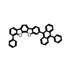 c1ccc(-c2c3ccccc3c(-c3ccc4c(c3)oc3c4ccc4c5cccc(-c6ccccc6)c5oc43)c3ccccc23)cc1